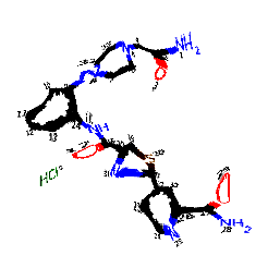 Cl.NC(=O)CN1CCN(c2ccccc2NC(=O)c2csc(-c3ccnc(C(N)=O)c3)n2)CC1